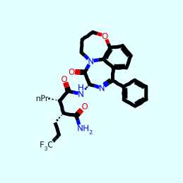 CCC[C@H](C(=O)N[C@H]1N=C(c2ccccc2)c2cccc3c2N(CCCO3)C1=O)[C@@H](CCC(F)(F)F)C(N)=O